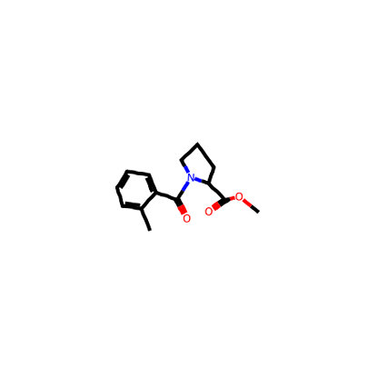 COC(=O)C1CCCN1C(=O)c1ccccc1C